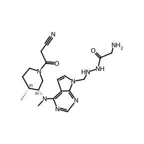 C[C@@H]1CCN(C(=O)CC#N)C[C@@H]1N(C)c1ncnc2c1ccn2CNNC(=O)CN